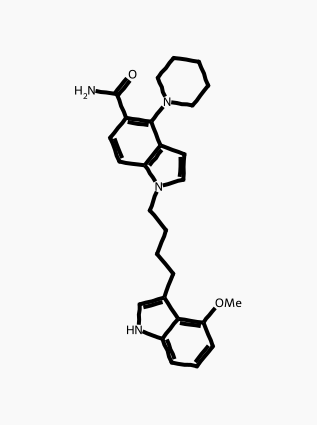 COc1cccc2[nH]cc(CCCCn3ccc4c(N5CCCCC5)c(C(N)=O)ccc43)c12